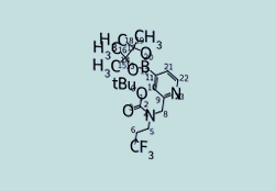 CC(C)(C)OC(=O)N(CCC(F)(F)F)Cc1cc(B2OC(C)(C)C(C)(C)O2)ccn1